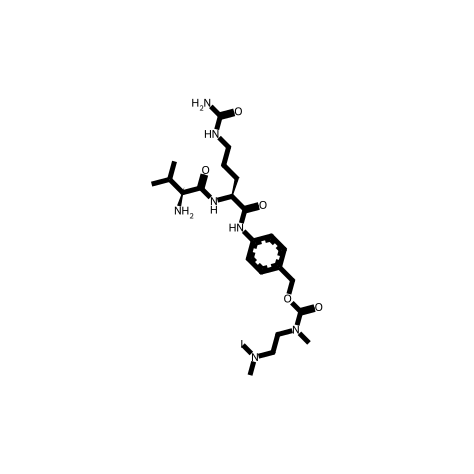 CC(C)[C@H](N)C(=O)N[C@@H](CCCNC(N)=O)C(=O)Nc1ccc(COC(=O)N(C)CCN(C)I)cc1